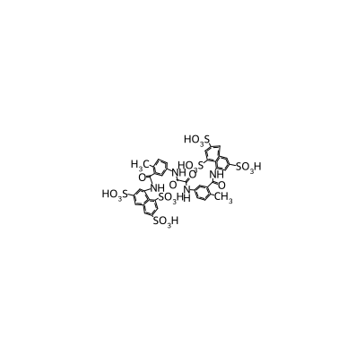 Cc1ccc(NC(=O)C(=O)Nc2ccc(C)c(C(=O)Nc3cc(S(=O)(=O)O)cc4cc(S(=O)(=O)O)cc(S(=O)(=O)O)c34)c2)cc1C(=O)Nc1cc(S(=O)(=O)O)cc2cc(S(=O)(=O)O)cc(S(=O)(=O)O)c12